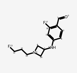 O=Cc1ccc(NC2CN(CCCF)C2)cc1F